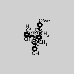 CCCC(C)(OC(=O)C1CCC(OC)CC1)c1ccc(C(C)(CC)OC(=O)C2CCC(O)CC2)c2nc(-c3cc4c(C)ccc(C)c4o3)sc12